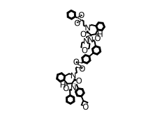 O=C1N(CCS(=O)(=O)c2ccc(-c3cccc(C4=N[C@]5(CN6CCOCC6)C(=O)N(CCS(=O)(=O)c6ccccc6)Cc6ccccc6[C@@H]5O4)c3)cc2)Cc2ccccc2[C@@H]2OC(c3ccccc3)=N[C@]12Cc1ccc(C2COC2)cc1